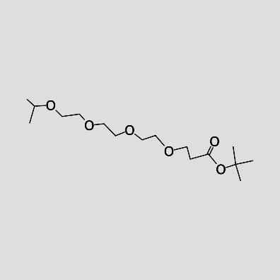 CC(C)OCCOCCOCCOCCC(=O)OC(C)(C)C